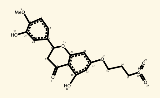 COc1ccc(C2CC(=O)c3c(O)cc(OCCC[SH](=O)=O)cc3O2)cc1O